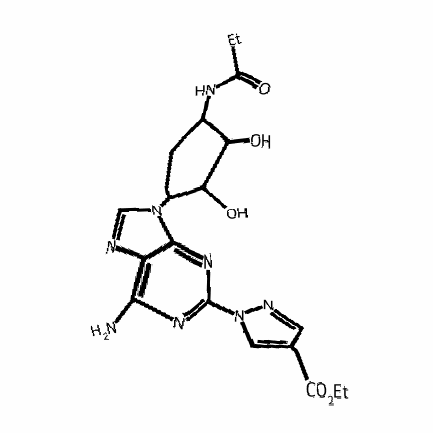 CCOC(=O)c1cnn(-c2nc(N)c3ncn(C4CC(NC(=O)CC)C(O)C4O)c3n2)c1